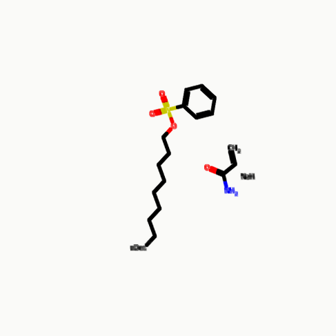 C=CC(N)=O.CCCCCCCCCCCCCCCCCCOS(=O)(=O)c1ccccc1.[NaH]